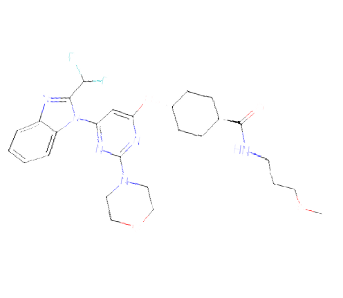 COCCCNC(=O)[C@H]1CC[C@H](Oc2cc(-n3c(C(F)F)nc4ccccc43)nc(N3CCOCC3)n2)CC1